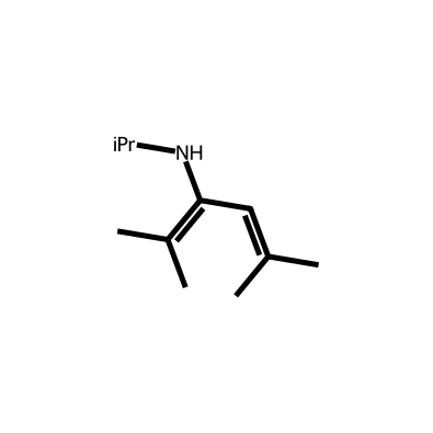 CC(C)=CC(NC(C)C)=C(C)C